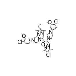 COc1cc(N2CCN(C(Cn3nc(C)c(Cl)c3C)C(=O)C(Cn3nc(C)c(Cl)c3C)N3CCN(c4ccc(Cl)c(OC)c4)CC3)CC2)ccc1Cl